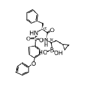 O=C(N[C@@H](CC1CC1)B(O)O)[C@H](Cc1ccccc1)NS(=O)(=O)c1ccc(Oc2ccccc2)cc1